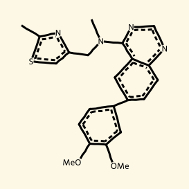 COc1ccc(-c2ccc3ncnc(N(C)Cc4csc(C)n4)c3c2)cc1OC